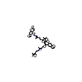 C/C(=C\COC1=CC2(Oc3cc4occc4cc31)OC(CC/C(C)=C/COc1c3ccoc3cc3oc(=O)ccc13)C(C)(C)O2)CCC1OC1(C)C